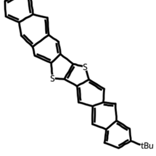 CC(C)(C)c1ccc2cc3cc4c(cc3cc2c1)sc1c2cc3cc5ccccc5cc3cc2sc41